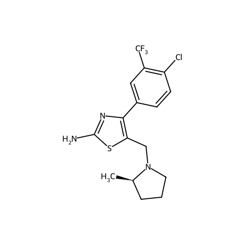 C[C@@H]1CCCN1Cc1sc(N)nc1-c1ccc(Cl)c(C(F)(F)F)c1